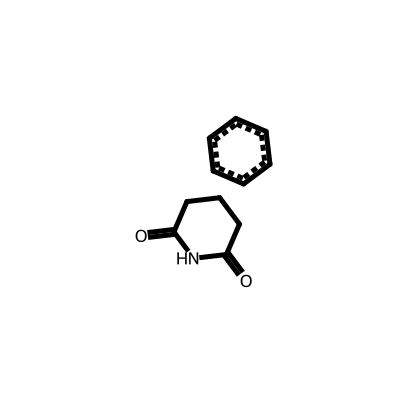 O=C1CCCC(=O)N1.c1ccccc1